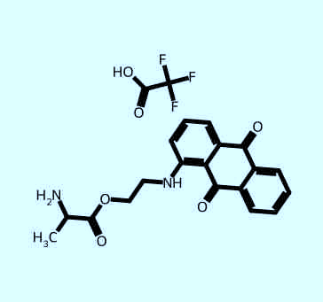 CC(N)C(=O)OCCNc1cccc2c1C(=O)c1ccccc1C2=O.O=C(O)C(F)(F)F